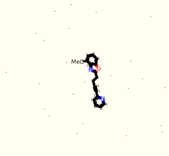 COc1cccc2oc(CCC#Cc3ccccn3)nc12